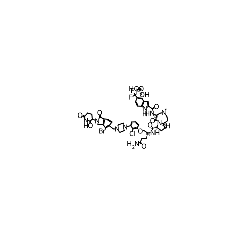 CN1CC[C@H]2CC[C@@H](C(=O)N[C@@H](CCC(N)=O)COc3cccc(N4CCN(Cc5ccc6c(c5Br)CN(C5CCC(=O)NC5=O)C6=O)CC4)c3Cl)N2C(=O)[C@@H](NC(=O)c2cc3cc(C(F)(F)P(=O)(O)O)ccc3[nH]2)C1